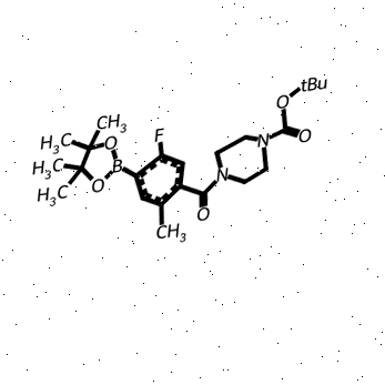 Cc1cc(B2OC(C)(C)C(C)(C)O2)c(F)cc1C(=O)N1CCN(C(=O)OC(C)(C)C)CC1